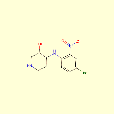 O=[N+]([O-])c1cc(Br)ccc1NC1CCNCC1O